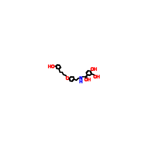 OCc1cc([C@@H](O)CNCCc2ccc(OCCCCc3cccc(O)c3)cc2)ccc1O